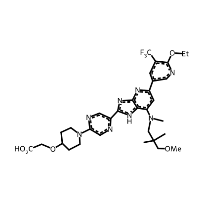 CCOc1ncc(-c2cc(N(C)CC(C)(C)COC)c3[nH]c(-c4cnc(N5CCC(OCC(=O)O)CC5)cn4)nc3n2)cc1C(F)(F)F